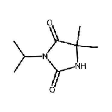 CC(C)N1C(=O)NC(C)(C)C1=O